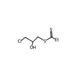 CCC(=S)SCC(O)CCl